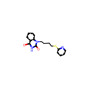 O=c1[nH]c(=O)n(CCCCSc2ccccn2)c2ccccc12